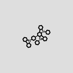 c1ccc(-n2c3ccccc3c3c2c(-c2ccc(-n4c5ccccc5c5ccccc54)cc2)cc2c4ccccc4n(-c4ccccc4)c23)cc1